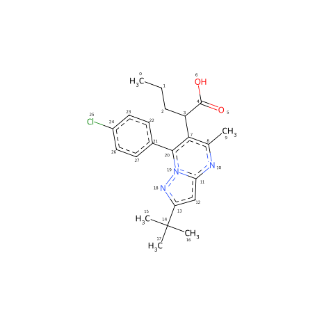 CCCC(C(=O)O)c1c(C)nc2cc(C(C)(C)C)nn2c1-c1ccc(Cl)cc1